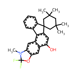 CN1c2cc3c4c(cc(O)c3cc2OC1(F)F)C1(CC(C)(C)CC(C)(C)C1)c1ccccc1-4